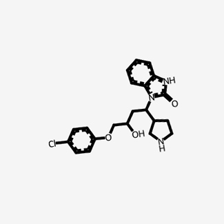 O=c1[nH]c2ccccc2n1C(CC(O)COc1ccc(Cl)cc1)C1CCNC1